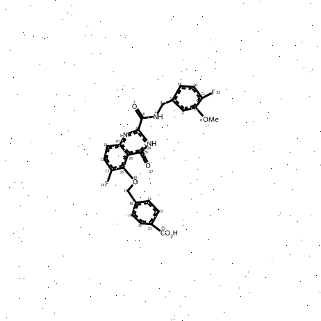 COc1cc(CNC(=O)c2nc3ccc(F)c(OCc4ccc(C(=O)O)cc4)c3c(=O)[nH]2)ccc1F